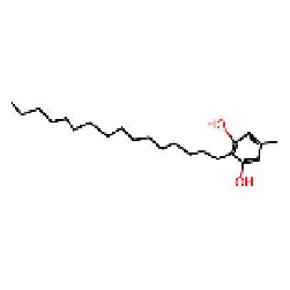 CCCCCCCCCCCCCCCCc1c(O)cc(C)cc1O